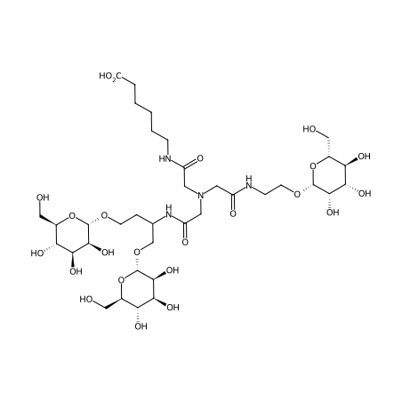 O=C(O)CCCCCNC(=O)CN(CC(=O)NCCO[C@@H]1O[C@H](CO)[C@@H](O)[C@H](O)[C@@H]1O)CC(=O)NC(CCO[C@H]1O[C@H](CO)[C@@H](O)[C@H](O)[C@@H]1O)CO[C@H]1O[C@H](CO)[C@@H](O)[C@H](O)[C@@H]1O